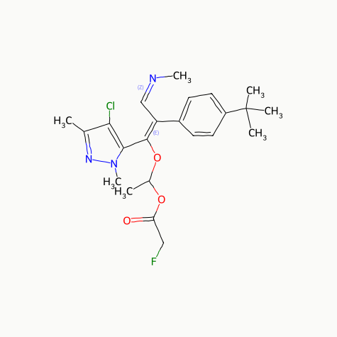 C/N=C\C(=C(\OC(C)OC(=O)CF)c1c(Cl)c(C)nn1C)c1ccc(C(C)(C)C)cc1